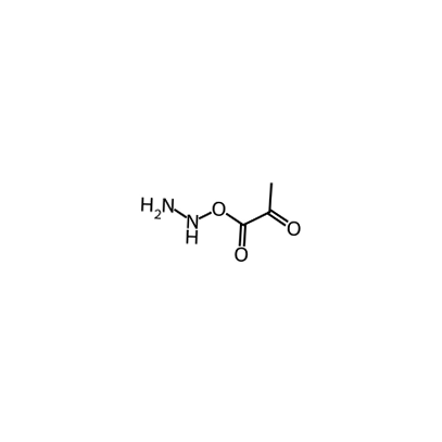 CC(=O)C(=O)ONN